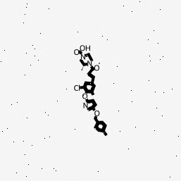 Cc1ccc(COc2ccc(Oc3c(C)cc(/C=C/C(=O)N4CCN(C(=O)O)C[C@H]4C)cc3Cl)nc2)cc1